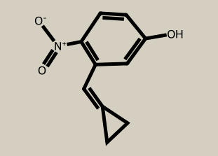 O=[N+]([O-])c1ccc(O)cc1C=C1CC1